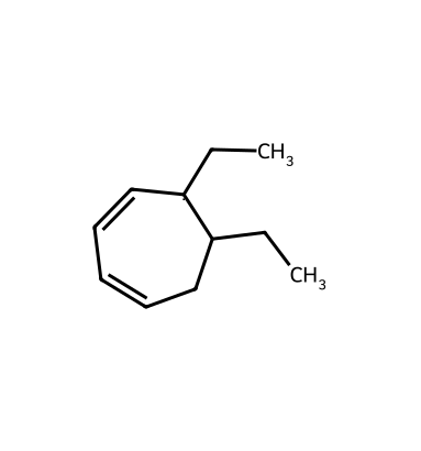 CC[C]1C=CC=CCC1CC